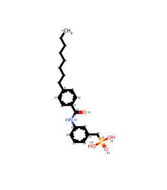 CCCCCCCCc1ccc(C(=O)Nc2cccc(CP(=O)(O)O)c2)cc1